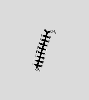 CC(I)C(F)(F)C(F)(F)C(F)(F)C(F)(F)C(F)(F)C(F)(F)C(F)(F)C(F)(F)C(F)(F)F